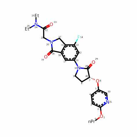 CCCOc1ccc(O[C@@H]2CCN(c3cc(F)c4c(c3)C(=O)N(CC(=O)N(CC)CC)C4)C2=O)cn1